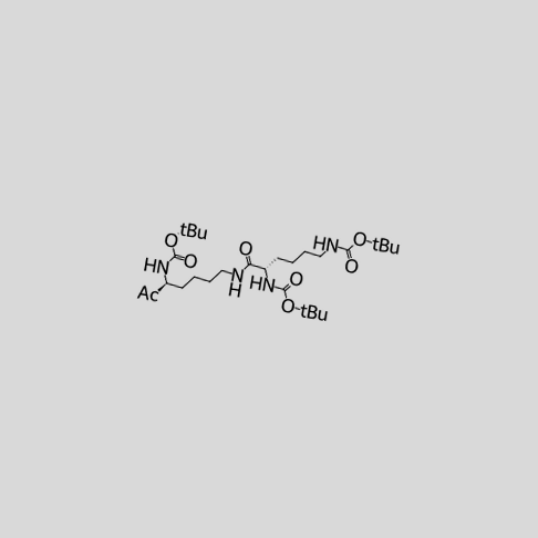 CC(=O)[C@H](CCCCNC(=O)[C@H](CCCCNC(=O)OC(C)(C)C)NC(=O)OC(C)(C)C)NC(=O)OC(C)(C)C